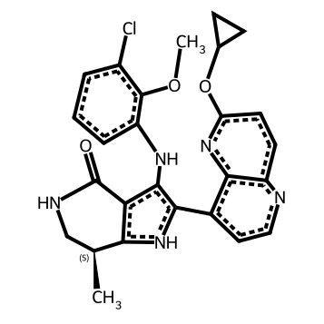 COc1c(Cl)cccc1Nc1c(-c2ccnc3ccc(OC4CC4)nc23)[nH]c2c1C(=O)NC[C@@H]2C